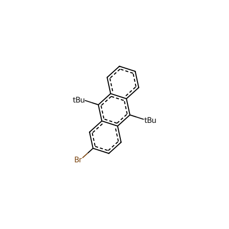 CC(C)(C)c1c2ccccc2c(C(C)(C)C)c2cc(Br)ccc12